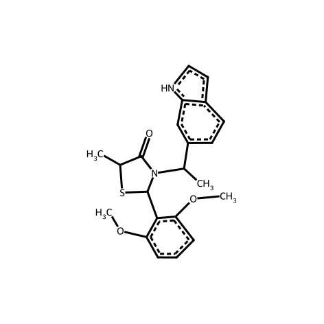 COc1cccc(OC)c1C1SC(C)C(=O)N1C(C)c1ccc2cc[nH]c2c1